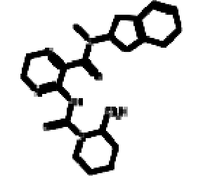 CN(C(=O)C1=NCCN=C1NC(=O)N1CCCCC1C(=O)O)C1CC2=C(CCC=C2)C1